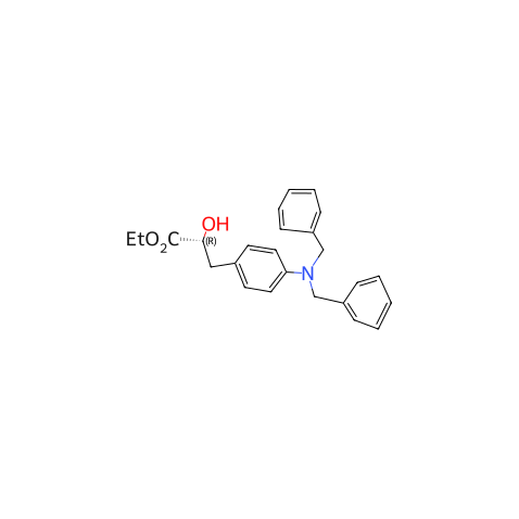 CCOC(=O)[C@H](O)Cc1ccc(N(Cc2ccccc2)Cc2ccccc2)cc1